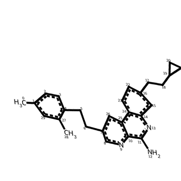 Cc1ccc(CCc2cnc3c(N)nc4cc(CCC5CC5)ccc4c3c2)c(C)c1